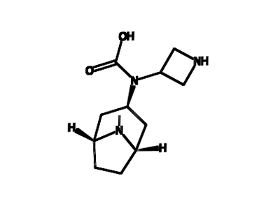 CN1[C@@H]2CC[C@H]1C[C@H](N(C(=O)O)C1CNC1)C2